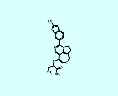 CCC(OC1=COCC2=C3C1=CN=C(c1ccc4oc(N)nc4c1)N3CC2)C(N)=O